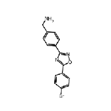 NCc1ccc(-c2noc(-c3ccc(Br)cc3)n2)cc1